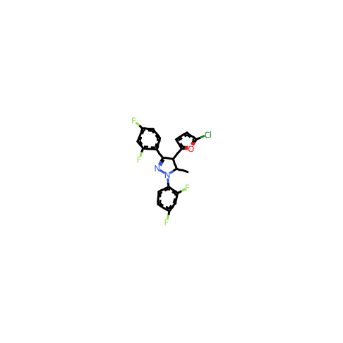 CC1C(c2ccc(Cl)o2)C(c2ccc(F)cc2F)=NN1c1ccc(F)cc1F